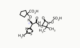 CC1(C)[C@H](NC(=O)/C(=N\OC2(C(=O)O)CCCC2)c2csc(N)n2)C(=O)N1OS(=O)(=O)O